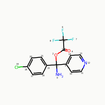 NC(OC(=O)C(F)(F)F)(c1ccncc1)c1ccc(Cl)cc1